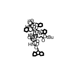 Cc1ccccc1C[C@H](NC(=O)[C@H](CCC(=O)OC(C)(C)C)NC(=O)[C@H](CC(=O)OC(C)(C)C)NC(=O)OCC1c2ccccc2-c2ccccc21)C(=O)N[C@@H](Cc1ccccc1)C(=O)N[C@@H](CC(C)C)C(=O)OCc1ccccc1